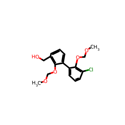 COCOc1c(Cl)cccc1-c1cccc(CO)c1OCOC